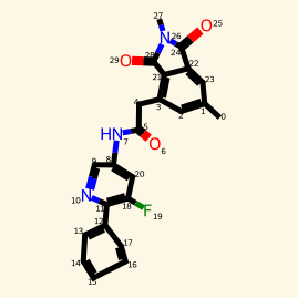 Cc1cc(CC(=O)Nc2cnc(-c3ccccc3)c(F)c2)c2c(c1)C(=O)N(C)C2=O